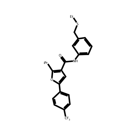 CCSCc1cccc(NC(=O)c2cc(-c3ccc(C(F)(F)F)cc3)oc2C(C)C)c1